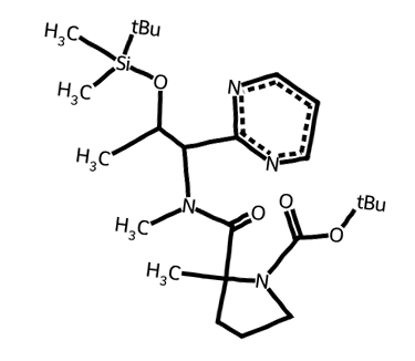 CC(O[Si](C)(C)C(C)(C)C)C(c1ncccn1)N(C)C(=O)C1(C)CCCN1C(=O)OC(C)(C)C